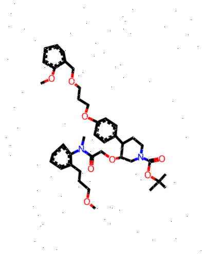 COCCCc1ccccc1N(C)C(=O)COC1CN(C(=O)OC(C)(C)C)CCC1c1ccc(OCCCOCc2ccccc2OC)cc1